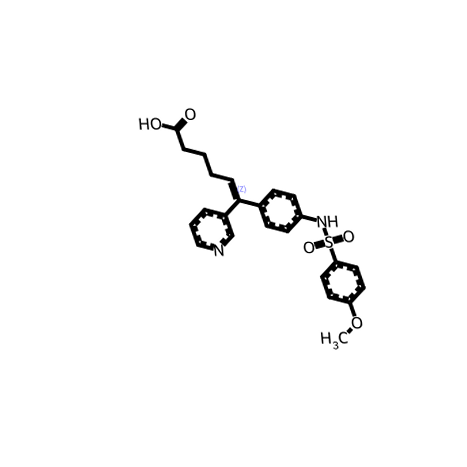 COc1ccc(S(=O)(=O)Nc2ccc(/C(=C/CCCC(=O)O)c3cccnc3)cc2)cc1